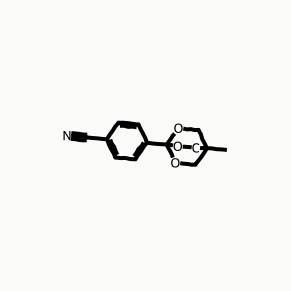 CC12COC(c3ccc(C#N)cc3)(OC1)OC2